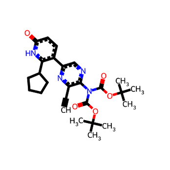 C#Cc1nc(-c2ccc(=O)[nH]c2C2CCCC2)cnc1N(C(=O)OC(C)(C)C)C(=O)OC(C)(C)C